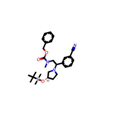 CN(CC(c1cccc(C#N)c1)N1CC[C@H](O[Si](C)(C)C(C)(C)C)C1)C(=O)OCc1ccccc1